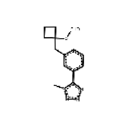 Cn1nnnc1-c1cccc(CC2(OC=O)CCC2)c1